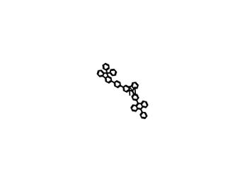 c1ccc(-c2c3ccccc3c(-c3ccc(-n4c5ccccc5c5cc(-c6ccc(-c7ccc8c(c7)C(c7ccccc7)(c7ccccc7)c7ccccc7-8)cc6)ccc54)cc3)c3ccccc23)cc1